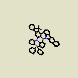 CC1(C)c2ccccc2-c2cc3c4c(c21)-c1cccc2c5cc6ccccc6cc5n(c12)B4c1cccc2c1N3c1ccccc1[Si]2(c1ccccc1)c1ccccc1